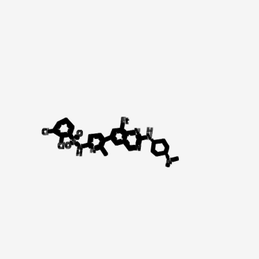 CCc1cc(-c2ccc(NS(=O)(=O)c3cccc(Cl)c3Cl)nc2C)cc2cnc(N[C@H]3CC[C@H](N(C)C)CC3)nc12